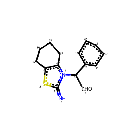 N=c1sc2c(n1C(C=O)c1ccccc1)CCCC2